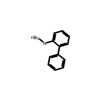 CCCC[N]c1ccccc1-c1ccccc1